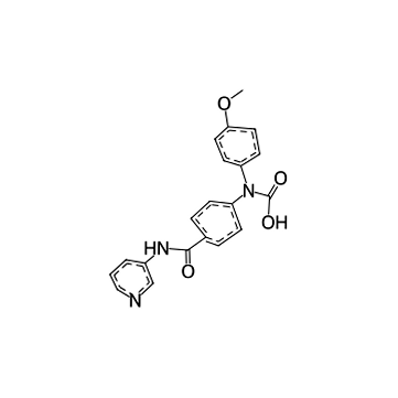 COc1ccc(N(C(=O)O)c2ccc(C(=O)Nc3cccnc3)cc2)cc1